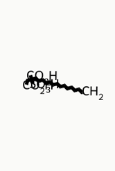 C=CCCCCCCCCCCCCCC(CC(=O)O)(C(=O)O)S(=O)(=O)O